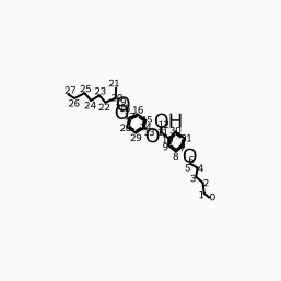 CCCCCCOc1ccc(C(O)Oc2ccc(OOC(C)CCCCCC)cc2)cc1